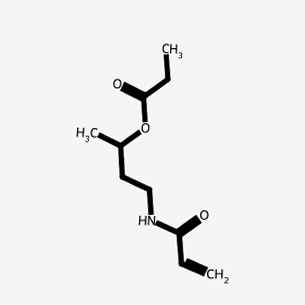 C=CC(=O)NCCC(C)OC(=O)CC